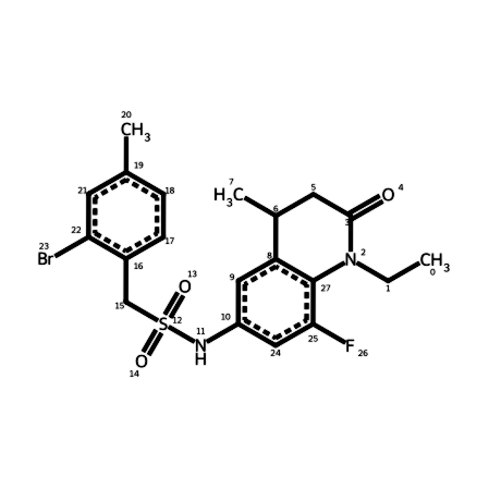 CCN1C(=O)CC(C)c2cc(NS(=O)(=O)Cc3ccc(C)cc3Br)cc(F)c21